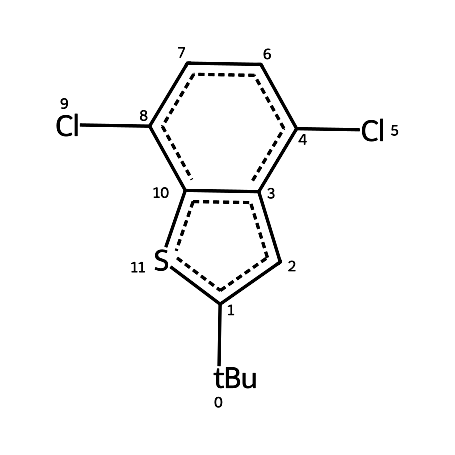 CC(C)(C)c1cc2c(Cl)ccc(Cl)c2s1